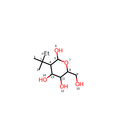 CCC(C)(C)C1C(O)OC(CO)C(O)C1O